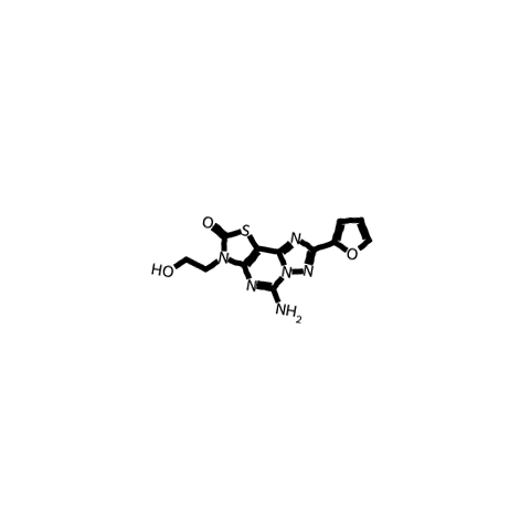 Nc1nc2c(sc(=O)n2CCO)c2nc(-c3ccco3)nn12